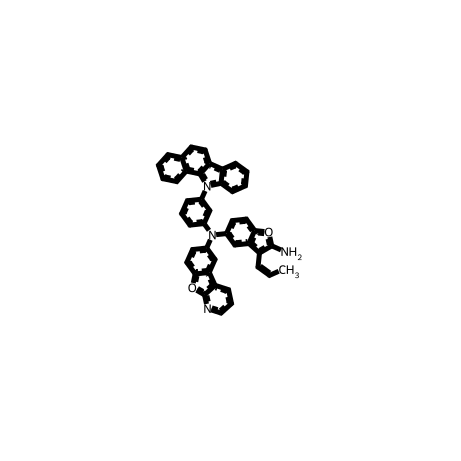 C/C=C\c1c(N)oc2ccc(N(c3cccc(-n4c5ccccc5c5ccc6ccccc6c54)c3)c3ccc4oc5ncccc5c4c3)cc12